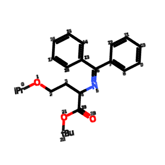 CC(C)OCCC(N=C(c1ccccc1)c1ccccc1)C(=O)OC(C)(C)C